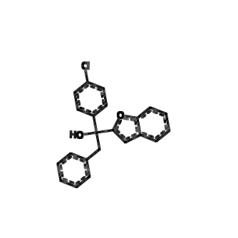 OC(Cc1ccccc1)(c1ccc(Cl)cc1)c1cc2ccccc2o1